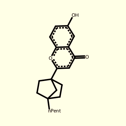 CCCCCC12CCC(c3cc(=O)c4cc(O)ccc4o3)(CC1)C2